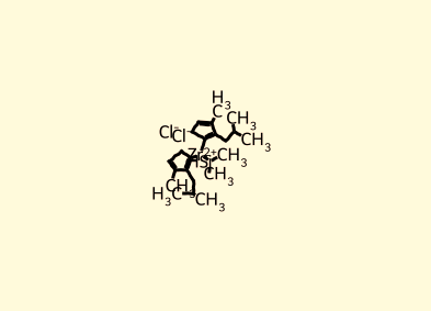 CC1=CC[C]([Zr+2]([C]2=C(CC(C)C)C(C)=CC2)[SiH](C)C)=C1CC(C)C.[Cl-].[Cl-]